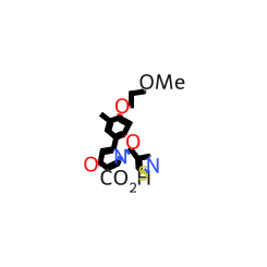 COCCCOc1cc2c(cc1C)-c1cc(=O)c(C(=O)O)cn1C(c1cnsc1)O2